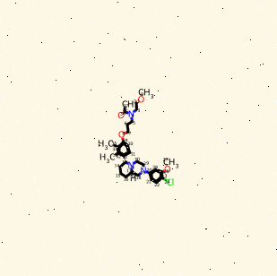 COCCN(CCCOc1ccc([C@H]2CCC[C@H]3CN(c4ccc(Cl)c(OC)c4)CCN32)c(C)c1C)C(C)=O